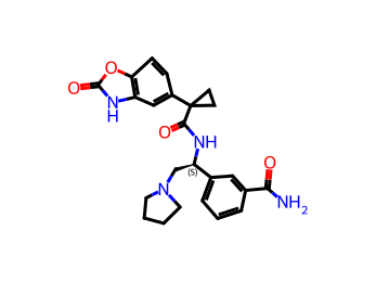 NC(=O)c1cccc([C@@H](CN2CCCC2)NC(=O)C2(c3ccc4oc(=O)[nH]c4c3)CC2)c1